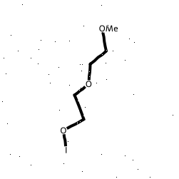 COCCOCCOI